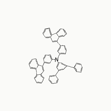 c1ccc(-c2cc(-c3ccccc3)cc(N(c3cccc(-c4cc5ccccc5c5ccccc45)c3)c3cccc(-c4cc5ccccc5c5ccccc45)c3)c2)cc1